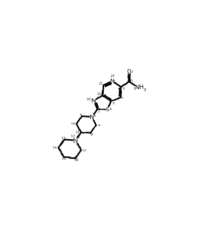 NC(=O)c1cc2sc(N3CCC(N4CCCCC4)CC3)nc2cn1